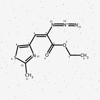 CCOC(=O)/C(=C\c1csc(C)n1)N=[N+]=[N-]